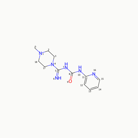 CN1CCN(C(=N)NC(=O)Nc2ccccn2)CC1